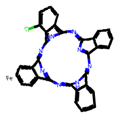 Clc1cccc2c3nc4nc(nc5[nH]c(nc6nc(nc([nH]3)c12)-c1ccccc1-6)c1ccccc51)-c1ccccc1-4.[Fe]